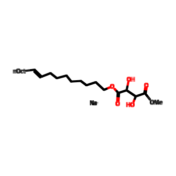 CCCCCCCCC=CCCCCCCCCOC(=O)C(O)C(O)C(=O)OC.[Na]